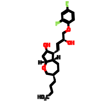 O=C(O)CCC[C@H]1CC[C@@H]2[C@@H](C=C[C@@H](O)COc3ccc(F)cc3F)[C@H](O)C[C@@H]2OC1